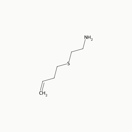 C=CCCSCCN